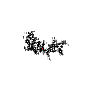 CC[C@H](C)[C@H](NC(=O)[C@@H]1C[C@@H](O)CN1C(=O)[C@@H](N)C(C)C)C(=O)N[C@H](C(=O)N[C@@H](Cc1ccc(O)cc1)C(=O)N[C@H](C(=O)N[C@@H](CC(N)=O)C(=O)N[C@@H](CCCNC(=N)N)C(=O)N[C@@H](CCCCN)C(=O)N[C@H](C(=O)N[C@H](CCN)C(=O)N[C@@H](CCCCN)C(=O)N[C@@H](CS)C(=O)N[C@@H](CCN)C(=O)N[C@@H](CCCNC(=N)N)C(=O)N[C@@H](Cc1ccc(O)cc1)C(=O)O)[C@@H](C)O)C(C)(C)S)[C@@H](C)O